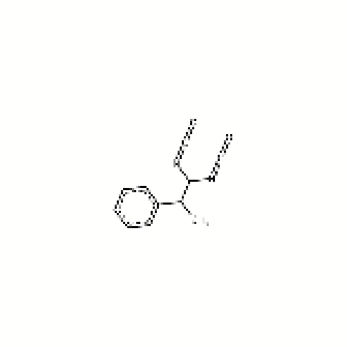 CC(c1ccccc1)C(N=C=O)N=C=O